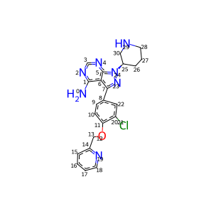 Nc1ncnc2c1c(-c1ccc(OCc3ccccn3)c(Cl)c1)nn2[C@@H]1CCCNC1